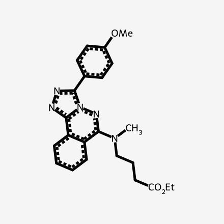 CCOC(=O)CCCN(C)c1nn2c(-c3ccc(OC)cc3)nnc2c2ccccc12